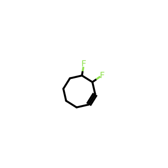 FC1C#CCCCCC1F